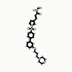 O=C(/C=C/c1ccn(S(=O)(=O)c2ccc(-c3cccc(OCCCN4CCOCC4)c3)cc2)c1)NO